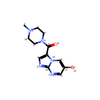 CN1CCN(C(=O)c2cnc3ncc(Br)cn23)CC1